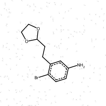 Nc1ccc(Br)c(CCC2OCCO2)c1